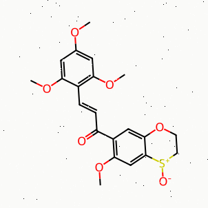 COc1cc(OC)c(C=CC(=O)c2cc3c(cc2OC)[S+]([O-])CCO3)c(OC)c1